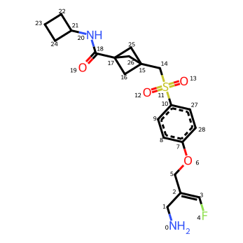 NCC(=CF)COc1ccc(S(=O)(=O)CC23CC(C(=O)NC4CCC4)(C2)C3)cc1